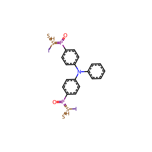 O=P(c1ccc(N(c2ccccc2)c2ccc(P(=O)=[SH](=S)I)cc2)cc1)=[SH](=S)I